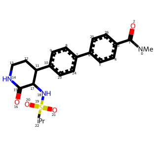 CNC(=O)c1ccc(-c2ccc(C3CCNC(=O)C3NS(=O)(=O)C(C)C)cc2)cc1